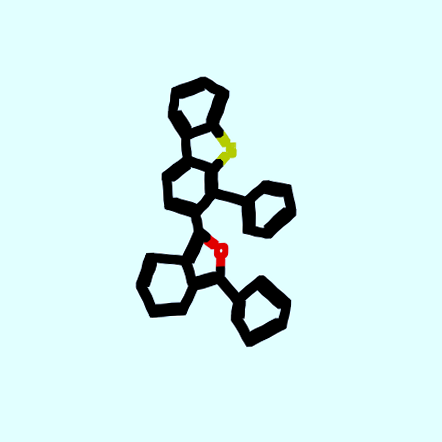 c1ccc(-c2oc(-c3ccc4c(sc5ccccc54)c3-c3ccccc3)c3ccccc23)cc1